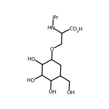 CC(C)NC(COC1CC(CO)C(O)C(O)C1O)C(=O)O